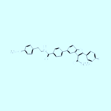 CNC(=O)c1c(-c2ccc(F)cc2)oc2ccc(-c3ccc(C(=O)NCCc4ccc(OC)cc4)cc3)cc12